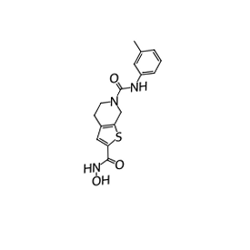 Cc1cccc(NC(=O)N2CCc3cc(C(=O)NO)sc3C2)c1